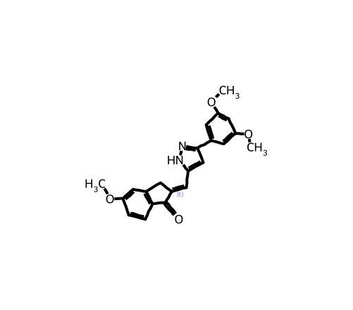 COc1cc(OC)cc(-c2cc(/C=C3\Cc4cc(OC)ccc4C3=O)[nH]n2)c1